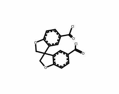 O=C(Cl)c1ccc2c(c1)C1(CO2)COc2ccc(C(=O)Cl)cc21